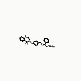 CNCC(OCc1ccc(CN2CCN(C)c3ccccc3C2=O)cc1)c1ccccc1